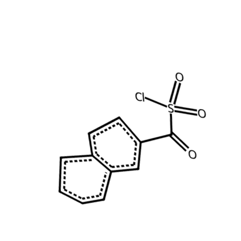 O=C(c1ccc2ccccc2c1)S(=O)(=O)Cl